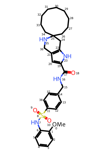 COc1ccccc1NS(=O)(=O)c1ccc(CNC(=O)c2cc3c([nH]2)CC2(CCCCCCCCC2)NC3)cc1